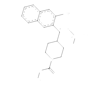 COc1cc2ccccc2cc1[C@H](N[S@@+]([O-])C(C)(C)C)C1CCN(C(=O)OC(C)(C)C)CC1